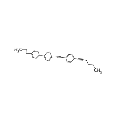 CCCCC#Cc1ccc(C#Cc2ccc(-c3ccc(CCC)cc3)cc2)cc1